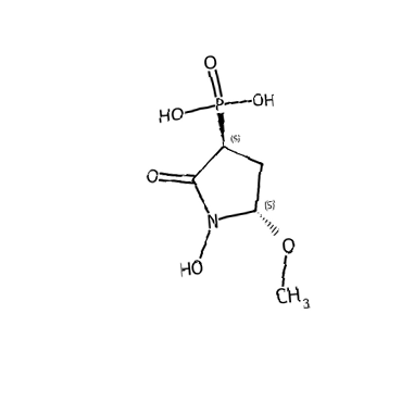 CO[C@H]1C[C@H](P(=O)(O)O)C(=O)N1O